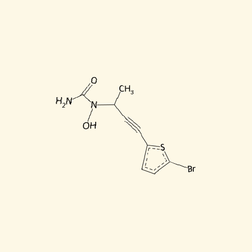 CC(C#Cc1ccc(Br)s1)N(O)C(N)=O